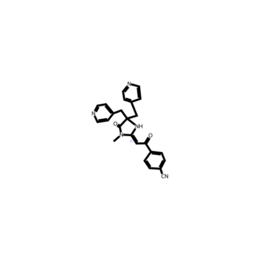 CN1C(=O)C(Cc2ccncc2)(Cc2ccncc2)N/C1=C\C(=O)c1ccc(C#N)cc1